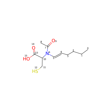 CCCCC=CN(C(C)=O)C(CS)C(=O)O